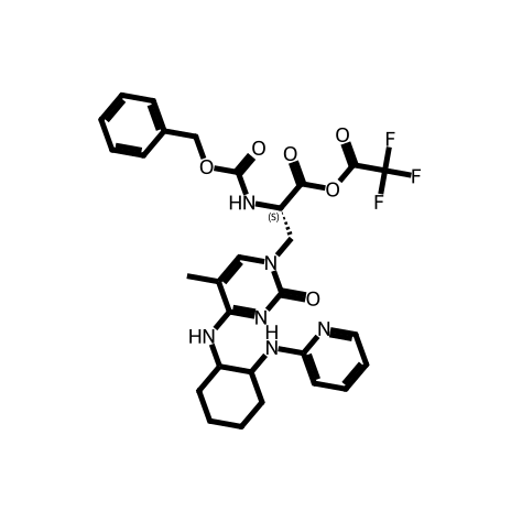 Cc1cn(C[C@H](NC(=O)OCc2ccccc2)C(=O)OC(=O)C(F)(F)F)c(=O)nc1NC1CCCCC1Nc1ccccn1